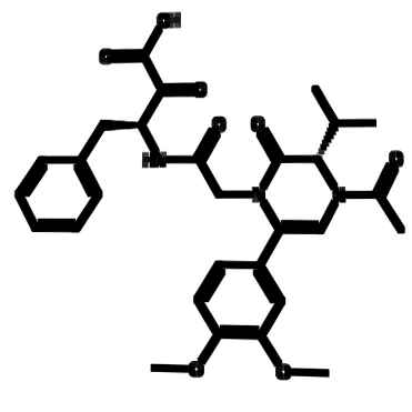 COc1ccc(C2=CN(C(C)=O)[C@@H](C(C)C)C(=O)N2CC(=O)N[C@@H](Cc2ccccc2)C(=O)C(=O)O)cc1OC